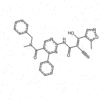 Cc1oncc1C(O)=C(C#N)C(=O)Nc1ncc(C(=O)N(C)Cc2ccccc2)c(-c2ccccc2)n1